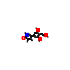 COC=Cc1c(OC)cc(-c2cn(C)c(=O)c(C)c2C)cc1OC